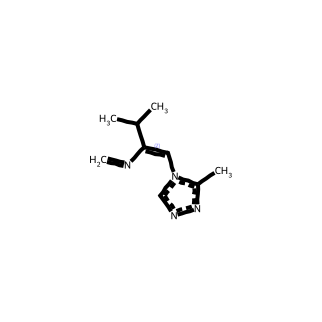 C=N/C(=C\n1cnnc1C)C(C)C